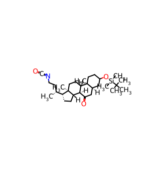 C[C@H](CCN=C=O)[C@H]1CC[C@H]2[C@@H]3C(=O)C[C@@H]4CC(O[Si](C)(C)C(C)(C)C)CC[C@]4(C)[C@H]3CC[C@]12C